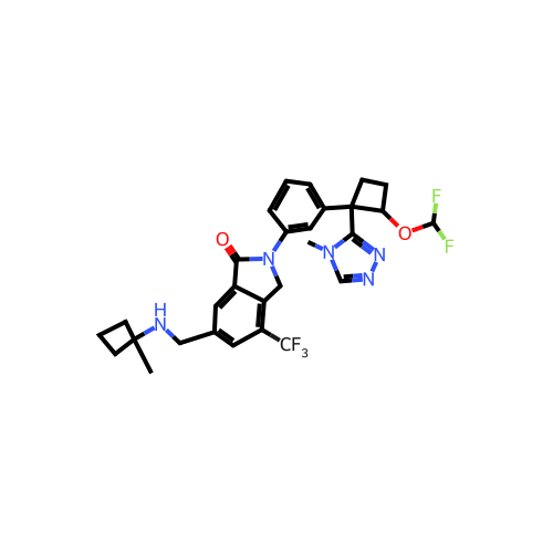 Cn1cnnc1C1(c2cccc(N3Cc4c(cc(CNC5(C)CCC5)cc4C(F)(F)F)C3=O)c2)CCC1OC(F)F